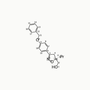 CC(C)[C@@]1(CO)CC(c2ccc(OCc3ccccc3)cc2)=NO1